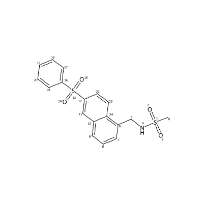 CS(=O)(=O)NCc1cccc2cc(S(=O)(=O)c3ccccc3)ccc12